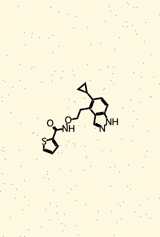 O=C(NOCCc1c(C2CC2)ccc2[nH]ncc12)c1cccs1